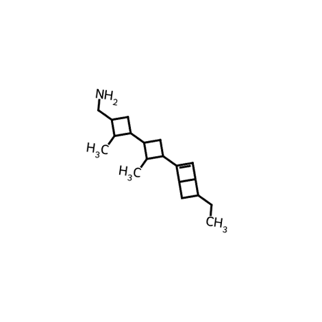 CCC1CC2C(C3CC(C4CC(CN)C4C)C3C)=CC12